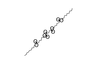 CCCCCCCCCOC(=O)CCCCCOC(=O)CCC(=O)C(=O)OCCCCCC(=O)OCCCCCCCCC